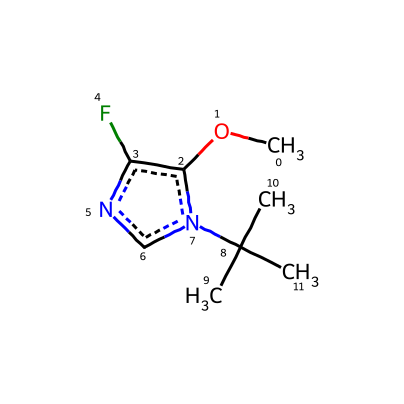 COc1c(F)ncn1C(C)(C)C